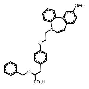 COc1ccc2c(c1)-c1ccccc1N(CCOc1ccc(CC(OCc3ccccc3)C(=O)O)cc1)C=C2